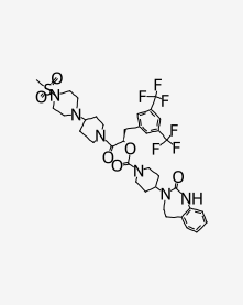 CS(=O)(=O)N1CCN(C2CCN(C(=O)[C@@H](Cc3cc(C(F)(F)F)cc(C(F)(F)F)c3)OC(=O)N3CCC(N4CCc5ccccc5NC4=O)CC3)CC2)CC1